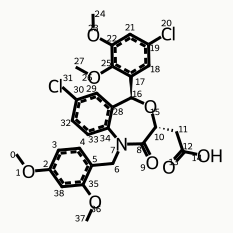 COc1ccc(CN2C(=O)[C@@H](CC(=O)O)O[C@H](c3cc(Cl)cc(OC)c3OC)c3cc(Cl)ccc32)c(OC)c1